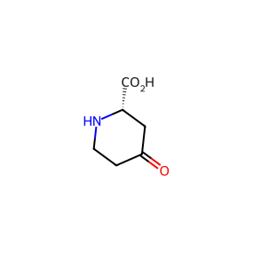 O=C1CCN[C@H](C(=O)O)C1